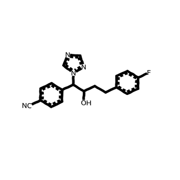 N#Cc1ccc(C(C(O)CCc2ccc(F)cc2)n2cncn2)cc1